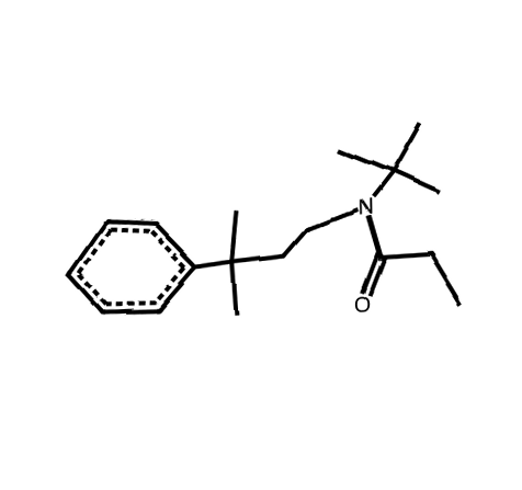 CCC(=O)N(CCC(C)(C)c1ccccc1)C(C)(C)C